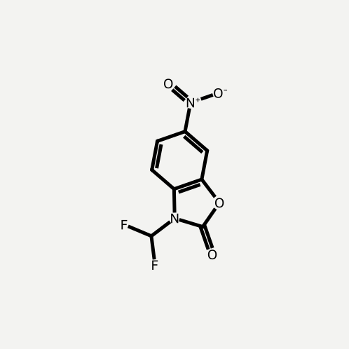 O=c1oc2cc([N+](=O)[O-])ccc2n1C(F)F